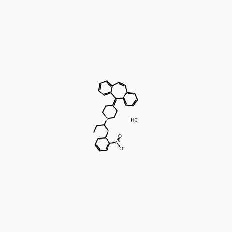 CCC(Cc1ccccc1[N+](=O)[O-])N1CCC(=C2c3ccccc3C=Cc3ccccc32)CC1.Cl